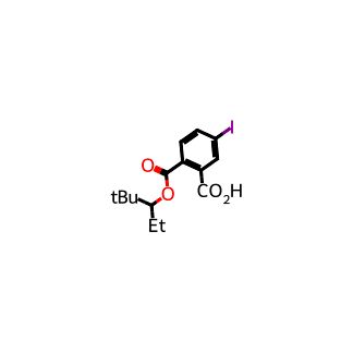 CCC(OC(=O)c1ccc(I)cc1C(=O)O)C(C)(C)C